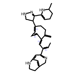 C=C1CC/C(C2CNN=C2C2=CCCC(C)N2)=C/C=C/C1=C/C(=C\C)C1=NCC2=CC(=C1)NCC2